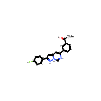 COC(=O)c1cccc(-c2cc3cc(-c4ccc(F)cc4)nn3cn2)c1